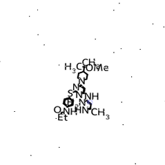 CCC(=O)Nc1ccc(Sc2nc(N/C(N)=C/C(C)=N)cc(N3CCC(C(C)(C)OC)CC3)n2)cc1